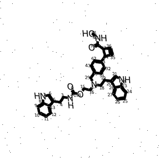 O=C(NCCc1c[nH]c2ccccc12)OCCN(CCc1c[nH]c2ccccc12)Cc1ccc(C2C#CC2C(=O)NO)cc1